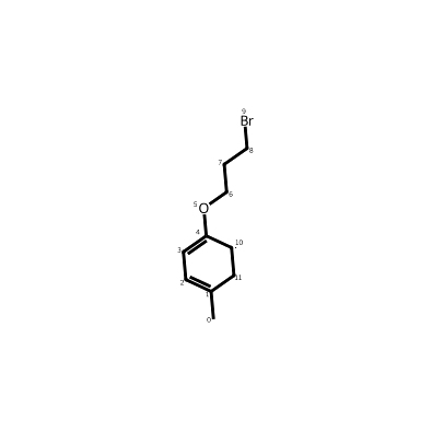 CC1=CC=C(OCCCBr)[CH]C1